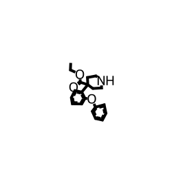 CCOC(=O)C1(c2ccccc2Oc2ccccc2)CCNCC1